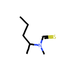 CCCC(C)N(C)[C]=S